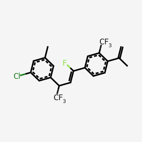 C=C(C)c1ccc(/C(F)=C/C(c2cc(C)cc(Cl)c2)C(F)(F)F)cc1C(F)(F)F